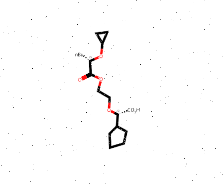 CCCC[C@H](OC1CC1)C(=O)OCCO[C@H](C(=O)O)C1CCCC1